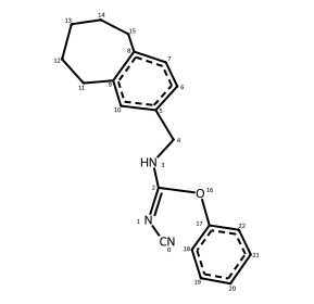 N#C/N=C(/NCc1ccc2c(c1)CCCCC2)Oc1ccccc1